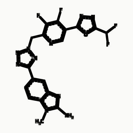 Cn1c(N)nc2cc(-c3nnn(Cc4ncc(-c5nnc(C(F)F)o5)c(F)c4F)n3)ccc21